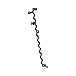 CCCCCCCCCCCCOCCNCCCC(=O)O